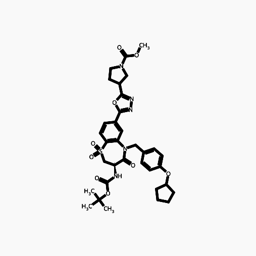 COC(=O)N1CCC(c2nnc(-c3ccc4c(c3)N(Cc3ccc(OC5CCCC5)cc3)C(=O)[C@@H](NC(=O)OC(C)(C)C)CS4(=O)=O)o2)C1